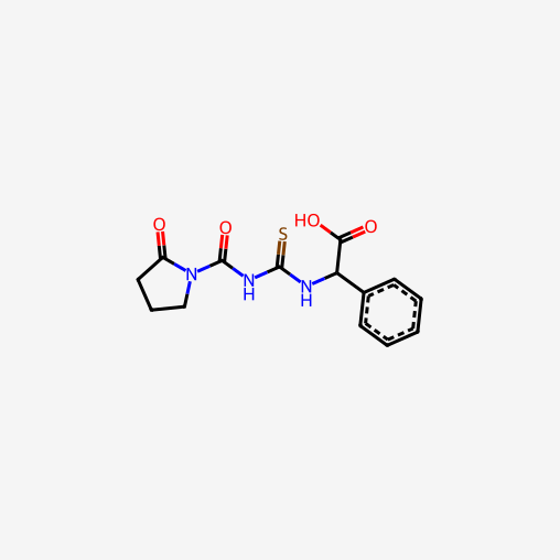 O=C(O)C(NC(=S)NC(=O)N1CCCC1=O)c1ccccc1